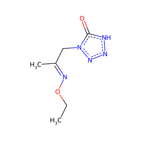 CCON=C(C)Cn1nn[nH]c1=O